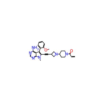 C=CC(=O)N1CCC(N2CC(C#Cc3c(-c4ccccc4OC)c4c(N)ncnc4n3C)C2)CC1